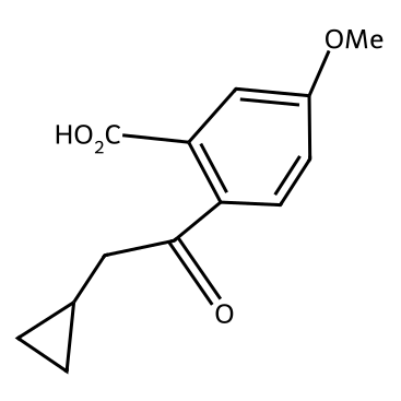 COc1ccc(C(=O)CC2CC2)c(C(=O)O)c1